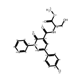 COC(=O)[C@@H](CO)NC(=O)c1cc(-c2ccc(Cl)cc2)nn(-c2cccnc2)c1=O